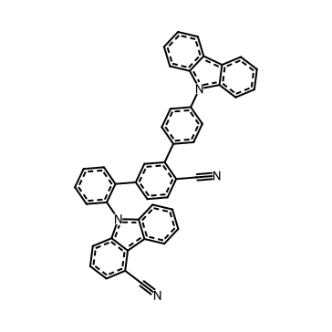 N#Cc1ccc(-c2ccccc2-n2c3ccccc3c3c(C#N)cccc32)cc1-c1ccc(-n2c3ccccc3c3ccccc32)cc1